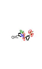 CS(=O)(=O)c1cccc(S(=O)(=O)n2cc(C=O)cc2Br)c1